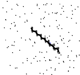 C[CH]CCCCCC/C=C/CCCC